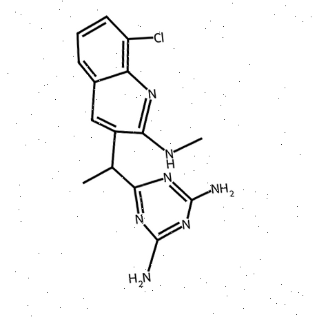 CNc1nc2c(Cl)cccc2cc1C(C)c1nc(N)nc(N)n1